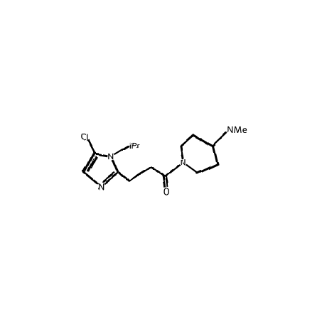 CNC1CCN(C(=O)CCc2ncc(Cl)n2C(C)C)CC1